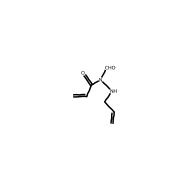 C=CCNN([C]=O)C(=O)C=C